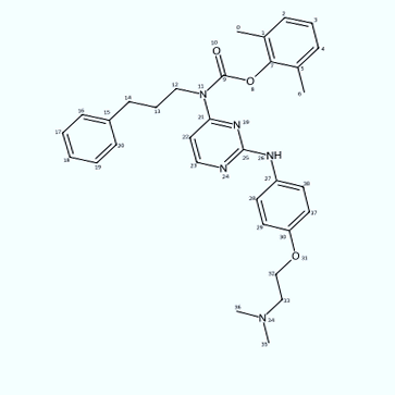 Cc1cccc(C)c1OC(=O)N(CCCc1ccccc1)c1ccnc(Nc2ccc(OCCN(C)C)cc2)n1